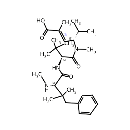 CN[C@H](C(=O)N[C@H](C(=O)N(C)[C@H](/C=C(\C)C(=O)O)C(C)C)C(C)(C)C)C(C)(C)Cc1ccccc1